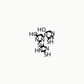 Oc1ccnc(S)n1.Oc1cnnc(S)n1.Sc1ncc[nH]1